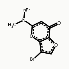 CCCN(C)c1cc(=O)c2occ(Br)c2o1